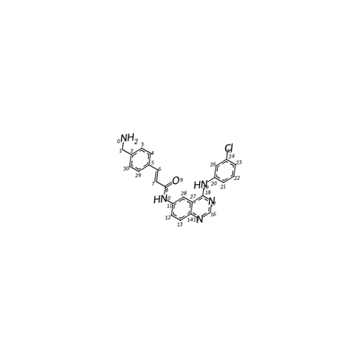 NCc1ccc(C=CC(=O)Nc2ccc3ncnc(Nc4cccc(Cl)c4)c3c2)cc1